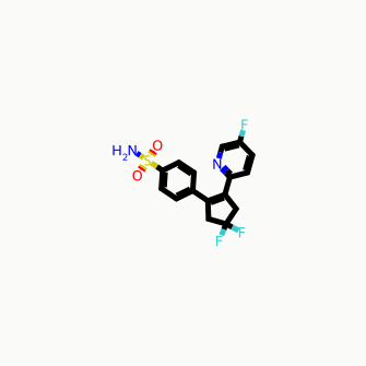 NS(=O)(=O)c1ccc(C2=C(c3ccc(F)cn3)CC(F)(F)C2)cc1